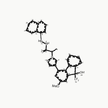 COc1cc(-c2cnn(C(C)C(=O)NNc3cccc4ccccc34)c2)c2c(c1)C(O)(C(F)(F)F)c1ccccc1-2